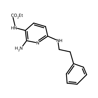 CCOC(=O)Nc1ccc(NCCc2ccccc2)nc1N